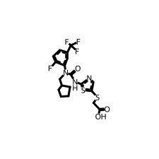 O=C(O)CSc1cnc(NC(=O)N(CC2CCCC2)c2cc(C(F)(F)F)ccc2F)s1